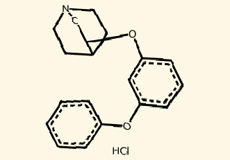 Cl.c1ccc(Oc2cccc(OC3CN4CCC3CC4)c2)cc1